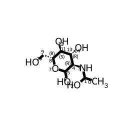 CC(O)N[C@H]1C(O)O[C@H](CO)[C@@H](O)[C@@H]1O